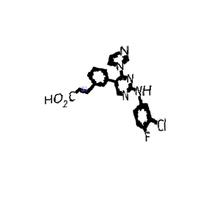 O=C(O)/C=C/c1cccc(-c2cnc(Nc3ccc(F)c(Cl)c3)nc2-n2ccnc2)c1